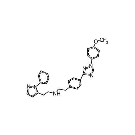 FC(F)(F)Oc1ccc(-n2cnc(-c3ccc(CCNCCc4ccnn4-c4ccccc4)cc3)n2)cc1